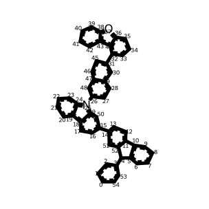 c1ccc(C2c3ccccc3-c3ccc(-c4ccc5c6ccccc6n(-c6ccc7cc(-c8cccc9oc%10ccccc%10c89)ccc7c6)c5c4)cc32)cc1